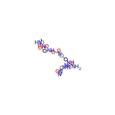 C=C1CCC(N2C(=O)c3cccc(NCCOCCC(=O)N4CCC(c5ccc(Nc6nc(N7CCC[C@@H](N8CCN(C)C8=O)C7)cnc6C(N)=O)cc5)CC4)c3C2=O)C(=O)N1